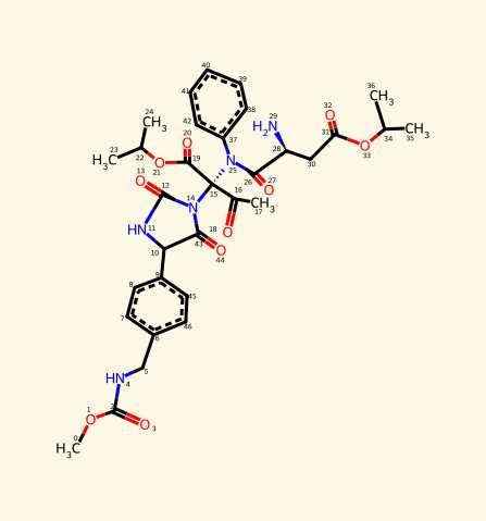 COC(=O)NCc1ccc(C2NC(=O)N([C@](C(C)=O)(C(=O)OC(C)C)N(C(=O)[C@@H](N)CC(=O)OC(C)C)c3ccccc3)C2=O)cc1